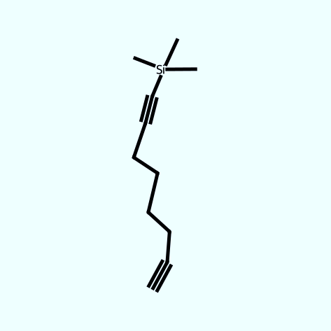 C#CCCCCC#C[Si](C)(C)C